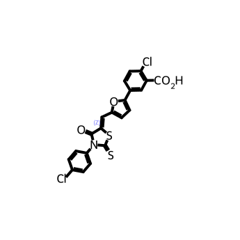 O=C(O)c1cc(-c2ccc(/C=C3\SC(=S)N(c4ccc(Cl)cc4)C3=O)o2)ccc1Cl